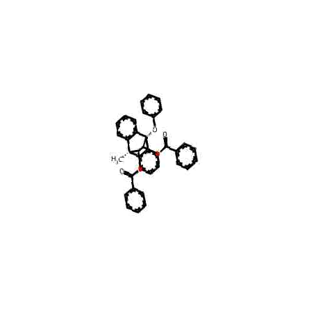 C[C@]12c3ccccc3[C@](Oc3ccccc3)(c3ccccc31)C(OC(=O)c1ccccc1)C2OC(=O)c1ccccc1